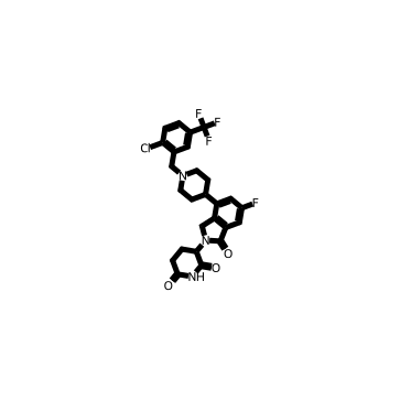 O=C1CCC(N2Cc3c(cc(F)cc3C3CCN(Cc4cc(C(F)(F)F)ccc4Cl)CC3)C2=O)C(=O)N1